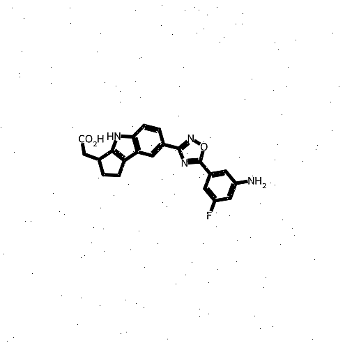 Nc1cc(F)cc(-c2nc(-c3ccc4[nH]c5c(c4c3)CCC5CC(=O)O)no2)c1